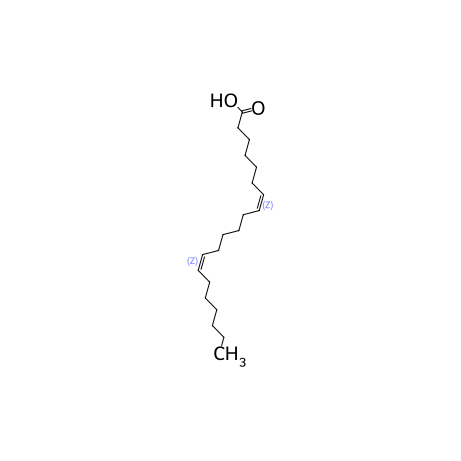 CCCCCC/C=C\CCCC/C=C\CCCCCC(=O)O